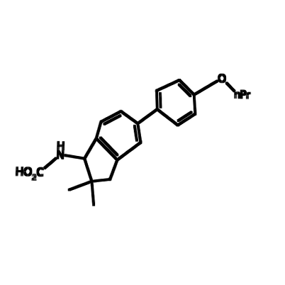 CCCOc1ccc(-c2ccc3c(c2)CC(C)(C)C3NC(=O)O)cc1